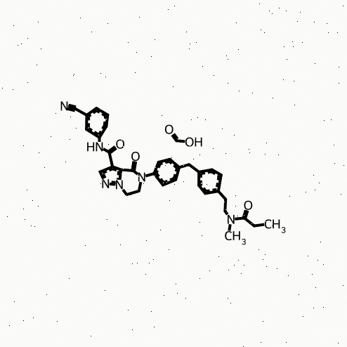 CCC(=O)N(C)CCc1ccc(Cc2ccc(N3CCn4ncc(C(=O)Nc5cccc(C#N)c5)c4C3=O)cc2)cc1.O=CO